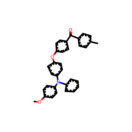 COc1ccc(N(c2ccccc2)c2ccc(Oc3ccc(C(=O)c4ccc(C)cc4)cc3)cc2)cc1